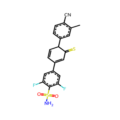 Cc1cc(C2C=CC(c3cc(F)c(S(N)(=O)=O)c(F)c3)=CC2=S)ccc1C#N